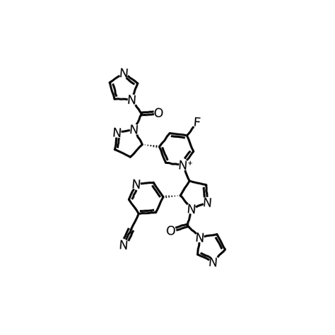 N#Cc1cncc([C@@H]2C([n+]3cc(F)cc([C@@H]4CC=NN4C(=O)n4ccnc4)c3)C=NN2C(=O)n2ccnc2)c1